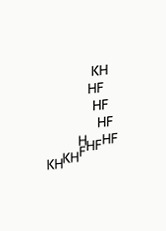 F.F.F.F.F.F.[KH].[KH].[KH]